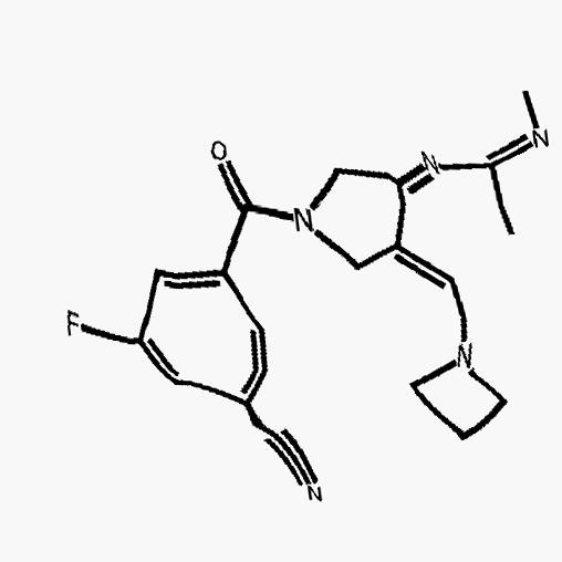 C\N=C(C)/N=C1/CN(C(=O)c2cc(F)cc(C#N)c2)C/C1=C\N1CCC1